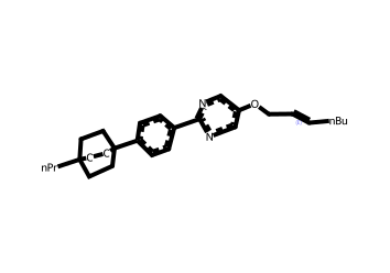 CCCC/C=C/COc1cnc(-c2ccc(C34CCC(CCC)(CC3)CC4)cc2)nc1